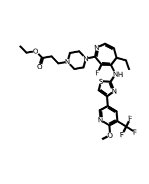 CCOC(=O)CCN1CCN(C2=NC=CC(CC)C(Nc3nc(-c4cnc(OC)c(C(F)(F)F)c4)cs3)=C2F)CC1